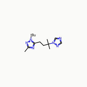 Cc1nc(CCC(C)(C)n2cncn2)n(C(C)(C)C)n1